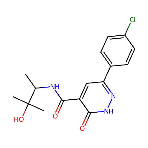 CC(NC(=O)c1cc(-c2ccc(Cl)cc2)n[nH]c1=O)C(C)(C)O